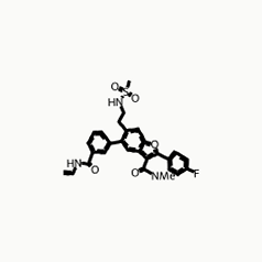 C=CNC(=O)c1cccc(-c2cc3c(C(=O)NC)c(-c4ccc(F)cc4)oc3cc2CCNS(C)(=O)=O)c1